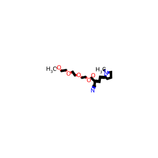 COCCOCCOCCOC(=O)/C(C#N)=C\C=C1/CCCN1C